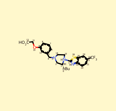 CCCC[C@@H]1CN(Cc2cccc(OCC(=O)O)c2)CCN1c1nc2ccc(C(F)(F)F)cc2s1